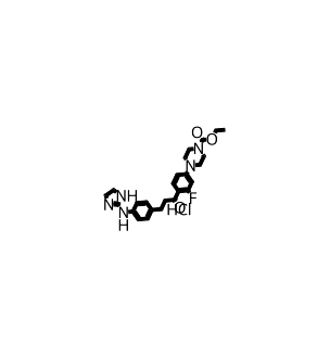 CCOC(=O)N1CCN(c2ccc(C(=O)CCc3ccc(NC4=NCCN4)cc3)c(F)c2)CC1.Cl